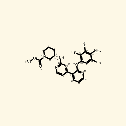 CC(C)(C)OC(=O)N1CCC[C@H](Nc2nccc(-c3cccnc3Oc3cc(F)c(N)c(F)c3F)n2)C1